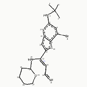 CC(C)(C)Nc1cc(Br)c2sc(/C(=C/C=N)NC3CCCCO3)cc2n1